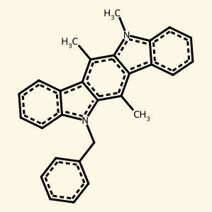 Cc1c2c3ccccc3n(Cc3ccccc3)c2c(C)c2c3ccccc3n(C)c12